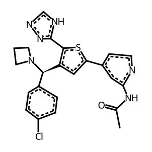 CC(=O)Nc1cc(-c2cc([C@@H](c3ccc(Cl)cc3)N3CCC3)c(-c3nnc[nH]3)s2)ccn1